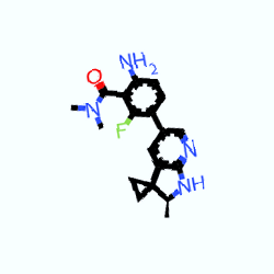 C[C@@H]1Nc2ncc(-c3ccc(N)c(C(=O)N(C)C)c3F)cc2C12CC2